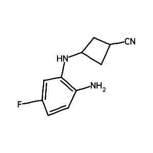 N#CC1CC(Nc2cc(F)ccc2N)C1